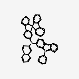 C1=CC2C=CC(N(c3ccc4c(c3)C3(c5ccccc5-c5ccccc53)c3ccccc3-4)c3ccc4c5ccccc5n(-c5ccccc5)c4c3)=CC2C=C1